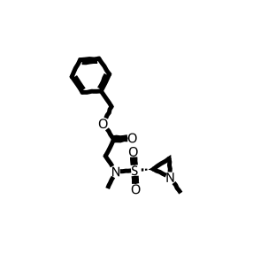 CN1C[C@H]1S(=O)(=O)N(C)CC(=O)OCc1ccccc1